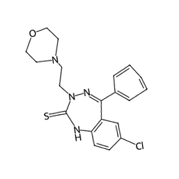 S=C1Nc2ccc(Cl)cc2C(c2ccccc2)=NN1CCN1CCOCC1